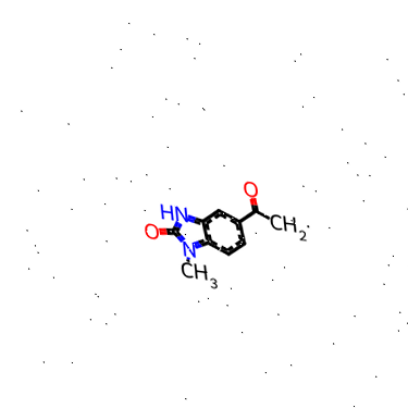 [CH2]C(=O)c1ccc2c(c1)[nH]c(=O)n2C